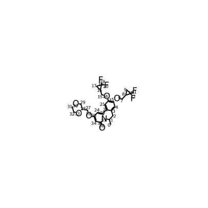 CC1Cc2cc(OCC3CC3(F)F)c(OCC3CC3(F)F)cc2-c2cc(OC[C@@H]3COCCO3)cc(=O)n21